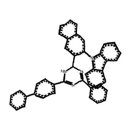 c1ccc(C2=NC(c3cc4ccccc4cc3-n3c4ccccc4c4ccccc43)NC(c3ccc(-c4ccccc4)cc3)=N2)cc1